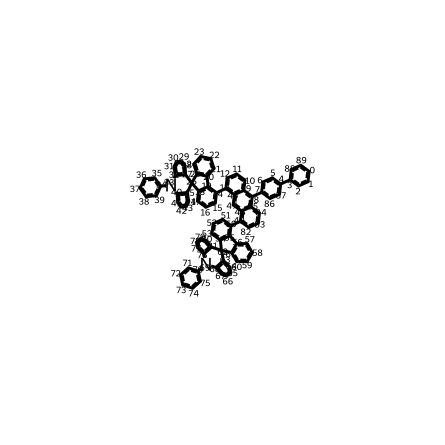 c1ccc(-c2ccc(-c3c4cccc(-c5cccc6c5-c5ccccc5C65c6ccccc6N(c6ccccc6)c6ccccc65)c4cc4c(-c5cccc6c5-c5ccccc5C65c6ccccc6N(c6ccccc6)c6ccccc65)cccc34)cc2)cc1